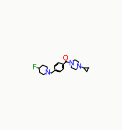 O=C(c1ccc(CN2CCC(F)CC2)cc1)N1CCN(C2CC2)CC1